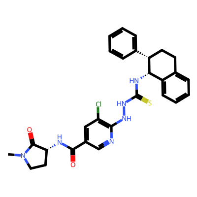 CN1CC[C@@H](NC(=O)c2cnc(NNC(=S)N[C@H]3c4ccccc4CC[C@H]3c3ccccc3)c(Cl)c2)C1=O